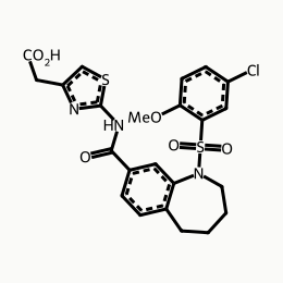 COc1ccc(Cl)cc1S(=O)(=O)N1CCCCc2ccc(C(=O)Nc3nc(CC(=O)O)cs3)cc21